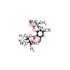 CCOC(Oc1cc(C#N)cc(COC)c1B1OC(C)(C)C(C)(C)O1)[Si](C)(C)C